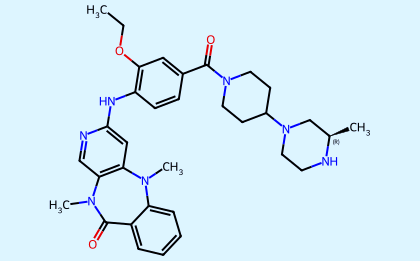 CCOc1cc(C(=O)N2CCC(N3CCN[C@H](C)C3)CC2)ccc1Nc1cc2c(cn1)N(C)C(=O)c1ccccc1N2C